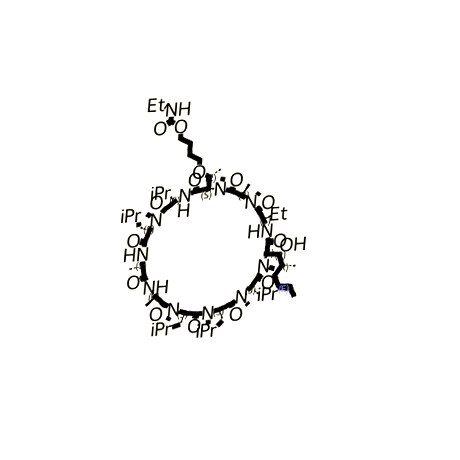 C/C=C/C[C@@H](C)[C@@H](O)[C@H]1C(=O)N[C@@H](CC)C(=O)N(C)[C@H](C)C(=O)N(C)[C@@H]([C@@H](C)OCCCCOC(=O)NCC)C(=O)N[C@@H](C(C)C)C(=O)N(C)[C@@H](CC(C)C)C(=O)N[C@@H](C)C(=O)N[C@H](C)C(=O)N(C)[C@@H](CC(C)C)C(=O)N(C)[C@@H](CC(C)C)C(=O)N(C)[C@@H](C(C)C)C(=O)N1C